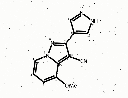 COc1cccn2nc(-c3cn[nH]c3)c(C#N)c12